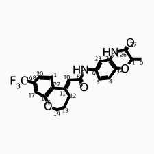 CC1Oc2ccc(NC(=O)/C=C3\CCCOc4cc(C(F)(F)F)ccc43)cc2NC1=O